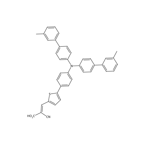 Cc1cccc(-c2ccc(N(c3ccc(-c4cccc(C)c4)cc3)c3ccc(-c4ccc(/C=C(\C#N)C(=O)O)s4)cc3)cc2)c1